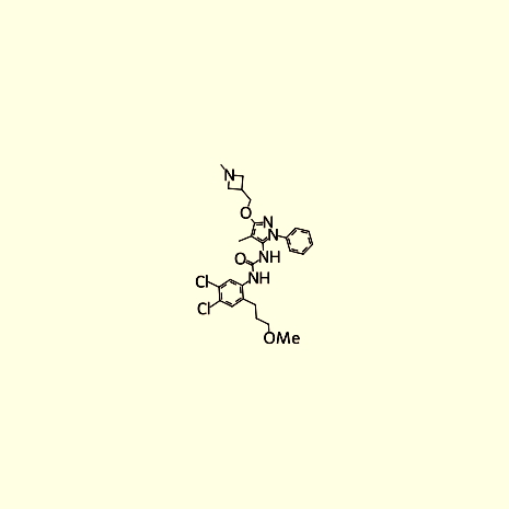 COCCCc1cc(Cl)c(Cl)cc1NC(=O)Nc1c(C)c(OCC2CN(C)C2)nn1-c1ccccc1